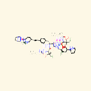 COC(=O)NC(C(=O)N[C@@H](Cc1ccc(C#Cc2ccc(N3CC4CCC(C3)N4CC(F)F)nc2)cc1)[C@@H](O)CN(Cc1c(F)cc(-c2ccccn2)cc1Cl)NC(=O)[C@@H](NC(=O)OC)C(C)(C)CF)C(C)(C)CF